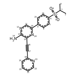 CC(C)S(=O)(=O)c1ccc(-c2cnc(N)c(C#Cc3ccccn3)n2)cc1